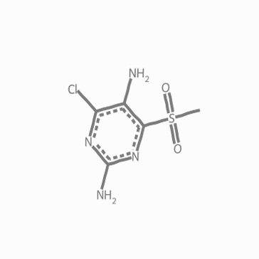 CS(=O)(=O)c1nc(N)nc(Cl)c1N